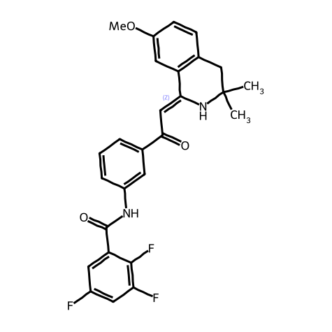 COc1ccc2c(c1)/C(=C/C(=O)c1cccc(NC(=O)c3cc(F)cc(F)c3F)c1)NC(C)(C)C2